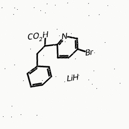 O=C(O)C(Cc1ccccc1)c1ccc(Br)cn1.[LiH]